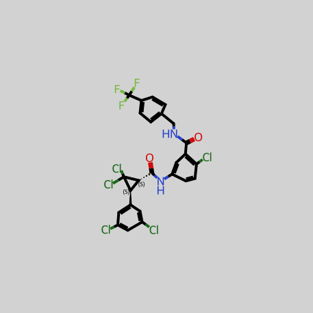 O=C(NCc1ccc(C(F)(F)F)cc1)c1cc(NC(=O)[C@@H]2[C@@H](c3cc(Cl)cc(Cl)c3)C2(Cl)Cl)ccc1Cl